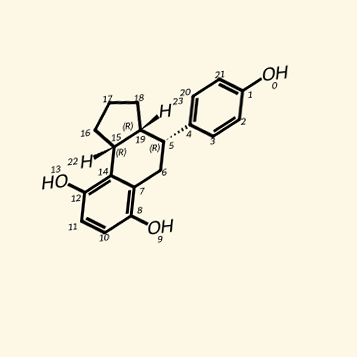 Oc1ccc([C@@H]2Cc3c(O)ccc(O)c3[C@@H]3CCC[C@H]23)cc1